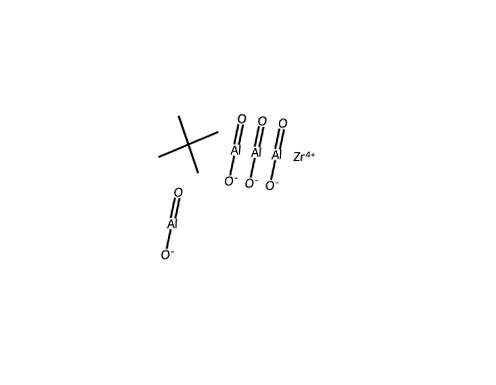 CC(C)(C)C.[O]=[Al][O-].[O]=[Al][O-].[O]=[Al][O-].[O]=[Al][O-].[Zr+4]